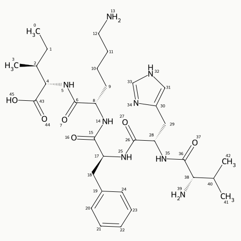 CC[C@H](C)[C@H](NC(=O)[C@H](CCCCN)NC(=O)[C@H](Cc1ccccc1)NC(=O)[C@H](Cc1c[nH]cn1)NC(=O)[C@@H](N)C(C)C)C(=O)O